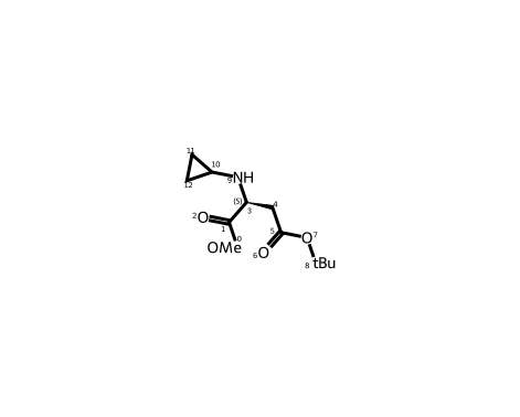 COC(=O)[C@H](CC(=O)OC(C)(C)C)NC1CC1